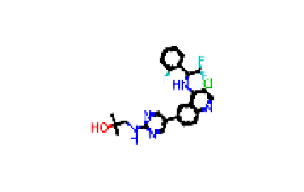 CC(C)(O)CNc1ncc(-c2ccc3ncc(Cl)c(NC(c4ccccc4F)C(F)F)c3c2)cn1